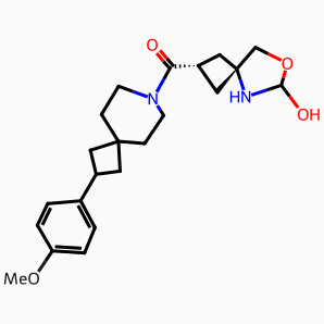 COc1ccc(C2CC3(CCN(C(=O)[C@H]4C[C@]5(COC(O)N5)C4)CC3)C2)cc1